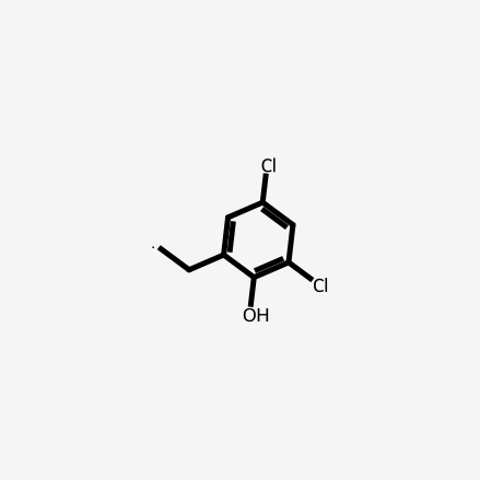 [CH2]Cc1cc(Cl)cc(Cl)c1O